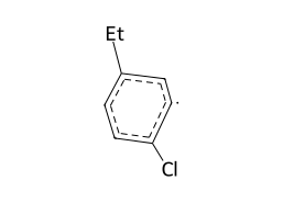 CCc1c[c]c(Cl)cc1